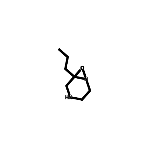 CCCC12CNCCN1O2